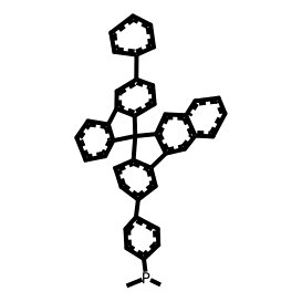 CP(C)c1ccc(-c2ccc3c(c2)-c2cc4ccccc4cc2C32c3ccccc3-c3cc(-c4ccccc4)ccc32)cc1